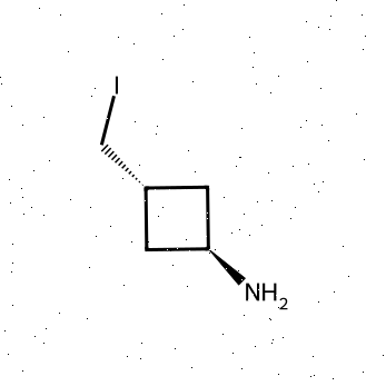 N[C@H]1C[C@H](CI)C1